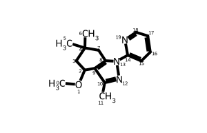 COC1CC(C)(C)Cc2c1c(C)nn2-c1ccccn1